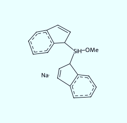 CO[SiH](C1C=Cc2ccccc21)C1C=Cc2ccccc21.[Na]